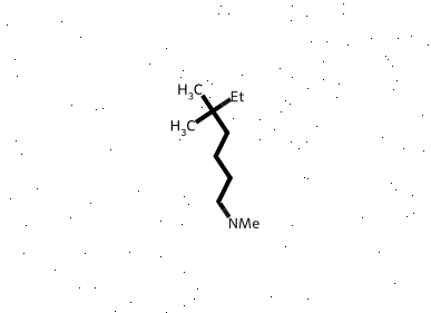 CCC(C)(C)CCCCNC